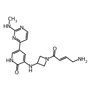 CNc1nccc(-c2c[nH]c(=O)c(NC3CN(C(=O)/C=C/CN)C3)c2)n1